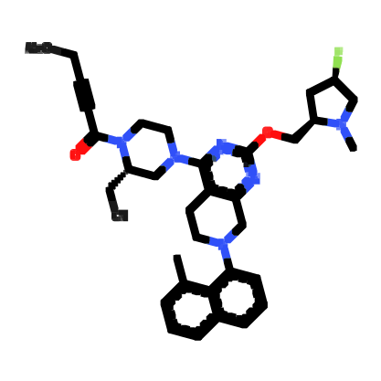 COCC#CC(=O)N1CCN(c2nc(OC[C@H]3C[C@@H](F)CN3C)nc3c2CCN(c2cccc4cccc(C)c24)C3)C[C@@H]1CC#N